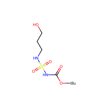 CC(C)(C)OC(=O)NS(=O)(=O)NCCCO